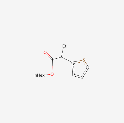 CCCCCCOC(=O)C(CC)c1cccs1